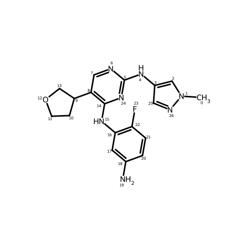 Cn1cc(Nc2ncc(C3CCOC3)c(Nc3cc(N)ccc3F)n2)cn1